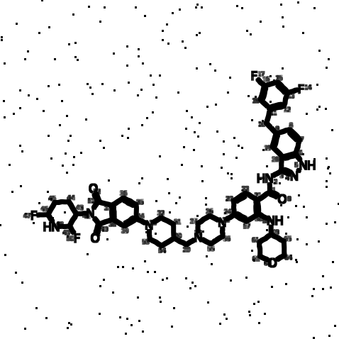 O=C(Nc1n[nH]c2ccc(Cc3cc(F)cc(F)c3)cc12)c1ccc(N2CCN(CC3CCN(c4ccc5c(c4)C(=O)N(C4CCC(F)NC4F)C5=O)CC3)CC2)cc1NC1CCOCC1